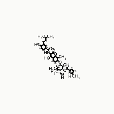 CC(C)=CCc1cc(C(=O)Nc2c(O)c3ccc(O[C@@H]4OC(C)(C)[C@H](CO)[C@@H](OC(=O)c5ccc(C)[nH]5)[C@H]4O)c(C)c3oc2=O)ccc1O